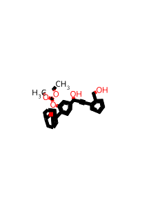 CCOC(OC)Oc1cc(C(O)C#Cc2ccccc2CO)ccc1C12CC3CC(CC(C3)C1)C2